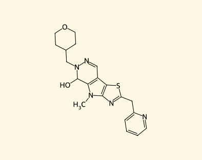 Cn1c2c(c3sc(Cc4ccccn4)nc31)C=NN(CC1CCOCC1)C2O